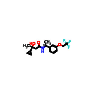 C[C@H](NC(=O)CC(C)(O)C1CC1)c1cccc(OCC(F)(F)F)c1